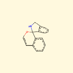 C1=Cc2ccccc2C2(NCc3ccccc32)O1